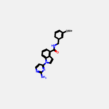 COC1=CC(CNC(=O)c2cccc3c2ccn3-c2ccnc(N)n2)CC=C1